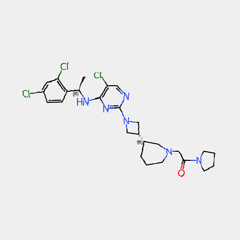 C[C@@H](Nc1nc(N2CC([C@H]3CCCN(CC(=O)N4CCCC4)C3)C2)ncc1Cl)c1ccc(Cl)cc1Cl